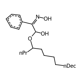 CCCCCCCCCCCCCCC(CCC)OC(O)C(=NO)c1ccccc1